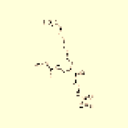 COC(=O)OCOC(=O)C(CCCCCCCC(=O)O)COC(=O)OC